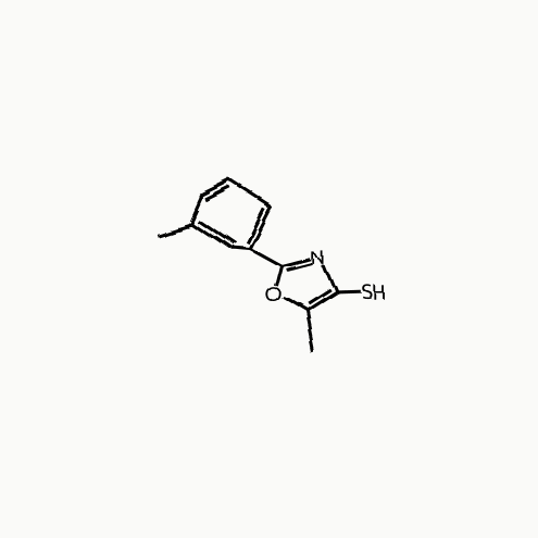 Cc1cccc(-c2nc(S)c(C)o2)c1